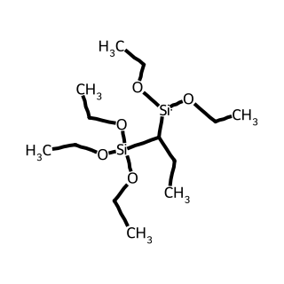 CCO[Si](OCC)C(CC)[Si](OCC)(OCC)OCC